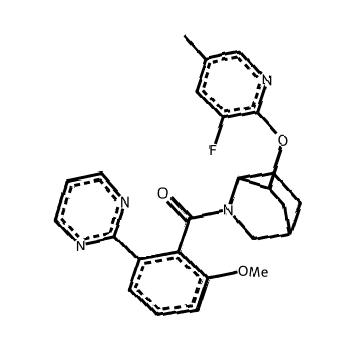 COc1cccc(-c2ncccn2)c1C(=O)N1CC2CCC1C(Oc1ncc(C)cc1F)C2